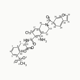 CS(=O)(=O)c1cccc(C[C@H](NC(=O)c2c(Cl)cc3c(c2N)CCN(C(=O)c2ccc4ccoc4c2)C3)C(=O)O)c1